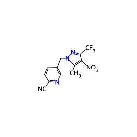 Cc1c([N+](=O)[O-])c(C(F)(F)F)nn1Cc1ccc(C#N)nc1